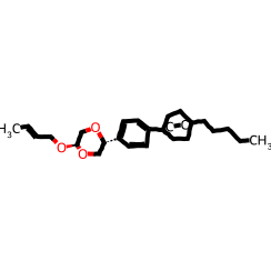 C/C=C/CO[C@H]1CO[C@H](c2ccc(C34CCC(CCCCC)(CC3)CC4)cc2)CO1